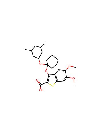 COc1cc2sc(C(=O)O)c(OC3(OC4CC(C)CC(C)C4)CCCCC3)c2cc1OC